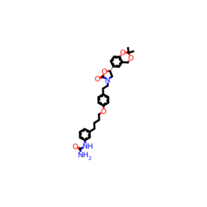 CC1(C)OCc2cc([C@@H]3CN(CCc4ccc(OCCCCc5cccc(NC(N)=O)c5)cc4)C(=O)O3)ccc2O1